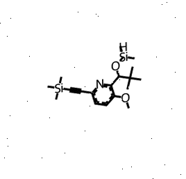 COc1ccc(C#C[Si](C)(C)C)nc1C(O[SiH](C)C)C(C)(C)C